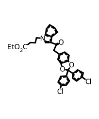 CCOC(=O)CCCn1cc(C(=O)Cc2ccc3c(c2)OC(c2ccc(Cl)cc2)(c2ccc(Cl)cc2)O3)c2ccccc21